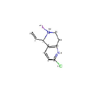 C=CC1c2ccc(Cl)nc2CCN1I